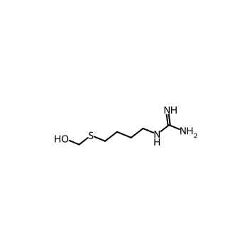 N=C(N)NCCCCSCO